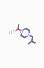 CC(C)CN1CCN(C(C)O)CC1